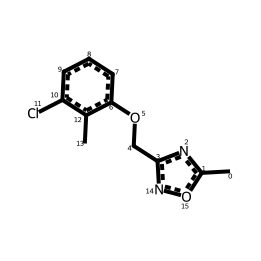 Cc1nc(COc2cccc(Cl)c2C)no1